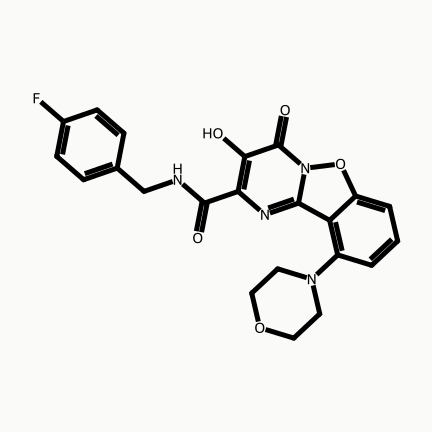 O=C(NCc1ccc(F)cc1)c1nc2c3c(N4CCOCC4)cccc3on2c(=O)c1O